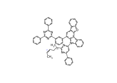 C/C=C\C[C@H](C)c1nc(-c2ccccc2)cc(-n2c3ccccc3c3c4oc5ccccc5c4cc(-c4cccc(-c5nc(-c6ccccc6)nc(-c6ccccc6)n5)c4)c32)n1